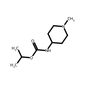 CC(C)OC(=O)NC1CCN(C)CC1